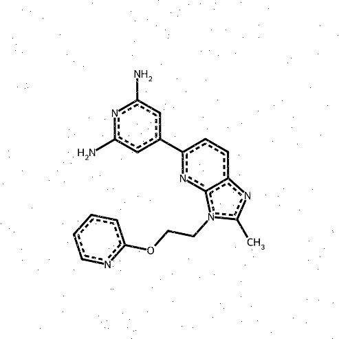 Cc1nc2ccc(-c3cc(N)nc(N)c3)nc2n1CCOc1ccccn1